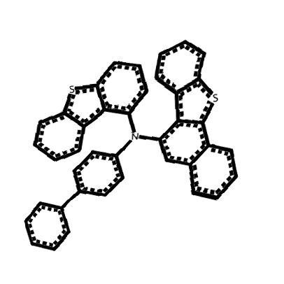 c1ccc(-c2ccc(N(c3cccc4sc5ccccc5c34)c3cc4ccccc4c4sc5ccccc5c34)cc2)cc1